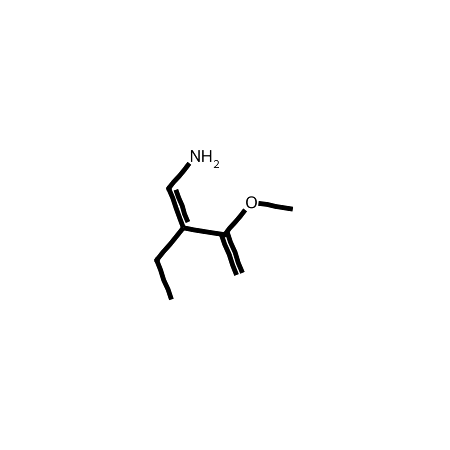 C=C(OC)/C(=C\N)CC